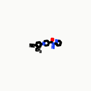 N#Cc1ccc(N2CCC(C(=O)Nc3ccccn3)CC2)cc1C(F)(F)F